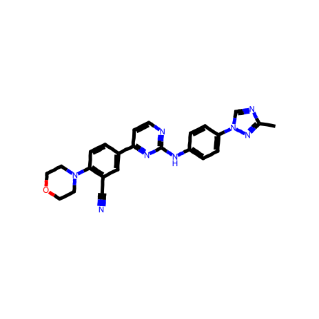 Cc1ncn(-c2ccc(Nc3nccc(-c4ccc(N5CCOCC5)c(C#N)c4)n3)cc2)n1